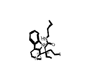 CCCCNC(=O)C[C@](CC)(CCI)[C@@]12CN1CCc1c2[nH]c2ccccc12